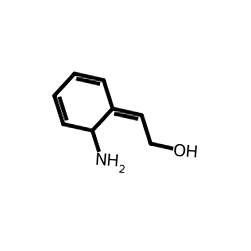 NC1C=CC=C/C1=C/CO